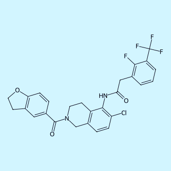 O=C(Cc1cccc(C(F)(F)F)c1F)Nc1c(Cl)ccc2c1CCN(C(=O)c1ccc3c(c1)CCO3)C2